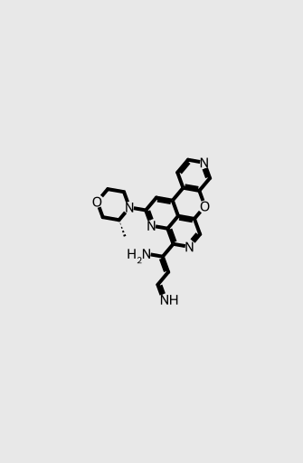 C[C@@H]1COCCN1c1cc2c3c(cnc(/C(N)=C/C=N)c3n1)Oc1cnccc1-2